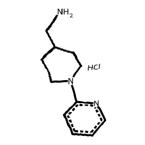 Cl.NCC1CCN(c2ccccn2)CC1